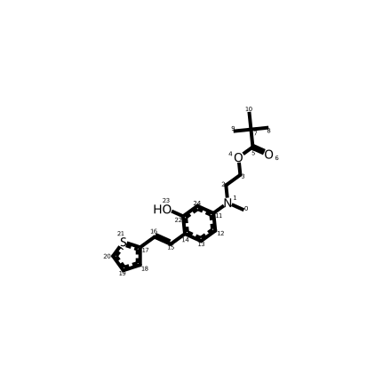 CN(CCOC(=O)C(C)(C)C)c1ccc(/C=C/c2cccs2)c(O)c1